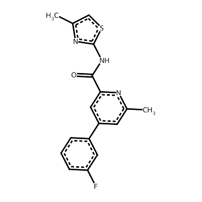 Cc1cc(-c2cccc(F)c2)cc(C(=O)Nc2nc(C)cs2)n1